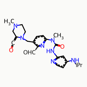 CC(C)Nc1ccnc(NC(=O)N(C)c2ccc(CN3CCN(C)CC3=C=O)c(C=O)n2)c1